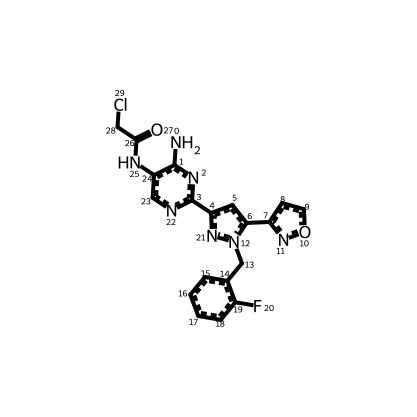 Nc1nc(-c2cc(-c3ccon3)n(Cc3ccccc3F)n2)ncc1NC(=O)CCl